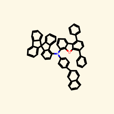 c1ccc(-c2ccc(-c3ccccc3)c3c2oc2c(N(c4ccc(-c5ccc6ccccc6c5)cc4)c4cccc5c4-c4ccccc4C54c5ccccc5-c5ccccc54)cccc23)cc1